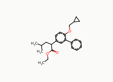 CCOC(=O)C(CC(C)C)c1ccc(OCC2CC2)c(-c2ccccc2)c1